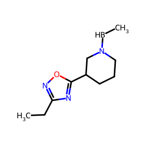 CBN1CCCC(c2nc(CC)no2)C1